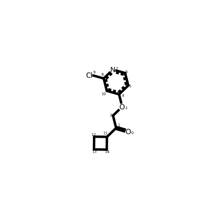 O=C(COc1ccnc(Cl)c1)C1CCC1